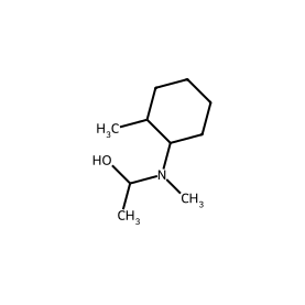 CC1CCCCC1N(C)C(C)O